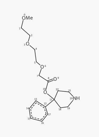 COCCOCCOCC(=O)OC1(c2ccccc2)CCNCC1